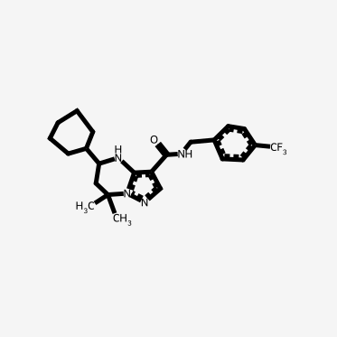 CC1(C)CC(C2CCCCC2)Nc2c(C(=O)NCc3ccc(C(F)(F)F)cc3)cnn21